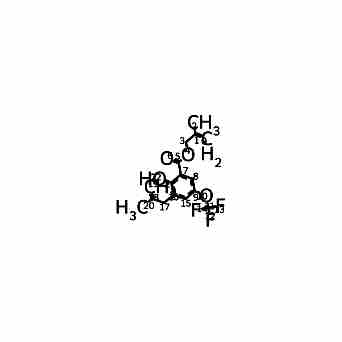 C=C(C)COC(=O)c1cc(OC(F)(F)F)cc(CC(=C)C)c1O